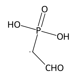 O=C[CH]P(=O)(O)O